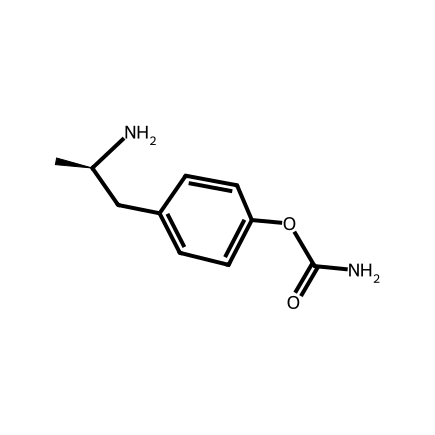 C[C@@H](N)Cc1ccc(OC(N)=O)cc1